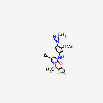 COc1cc(Nc2cc(C3CC3)cn([C@@H](C)c3ccns3)c2=O)ccc1-n1cnc(C)c1